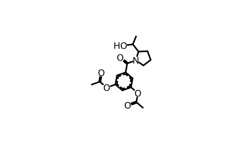 CC(=O)Oc1cc(OC(C)=O)cc(C(=O)N2CCCC2C(C)O)c1